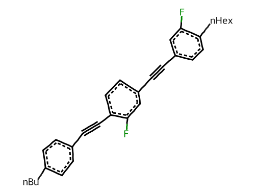 CCCCCCc1ccc(C#Cc2ccc(C#Cc3ccc(CCCC)cc3)c(F)c2)cc1F